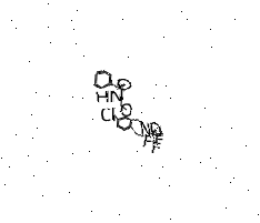 O=C(NCCOc1c(Cl)ccc2c1CCN(C(=O)C(F)(F)F)CC2)c1ccccc1